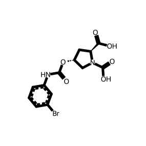 O=C(Nc1cccc(Br)c1)O[C@@H]1C[C@@H](C(=O)O)N(C(=O)O)C1